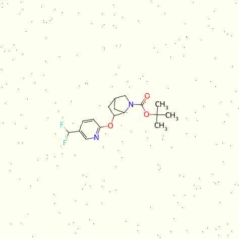 CC(C)(C)OC(=O)N1CC2CC(Oc3ccc(C(F)F)cn3)C1C2